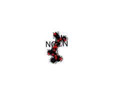 N#Cc1cc(-c2cc(-c3ccccc3)nc(-c3ccccc3)n2)c(C#N)cc1-c1ccc(-n2c3ccccc3c3cc(N(c4ccccc4)c4ccccc4)ccc32)cc1